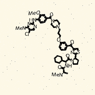 CNc1nc(Nc2ccc(C(=O)N3CCN(CCCOc4cccc(C(=O)c5csc(C6CCCN6C(=O)[C@@H](NC(=O)[C@H](C)NC)C6CCCCC6)n5)c4)CC3)cc2OC)ncc1Cl